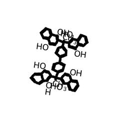 CC(c1ccc(-c2ccc(C(C)(c3cc(O)c4ccccc4c3O)c3cc(O)c4ccccc4c3O)cc2)cc1)(c1cc(O)c2ccccc2c1O)c1cc(O)c2ccccc2c1O